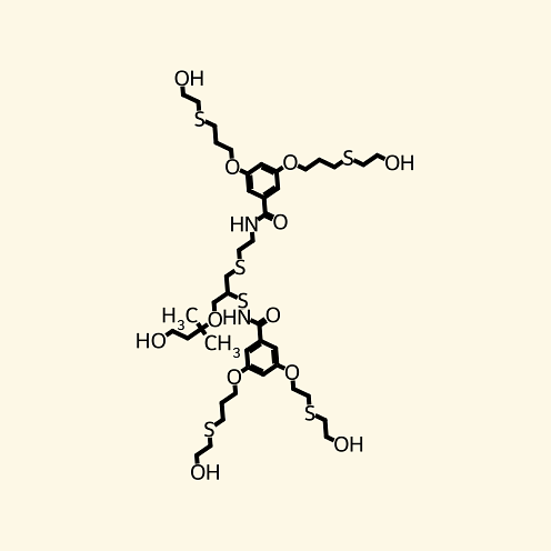 CC(C)(CCO)OCC(CSCCNC(=O)c1cc(OCCCSCCO)cc(OCCCSCCO)c1)SNC(=O)c1cc(OCCCSCCO)cc(OCCSCCO)c1